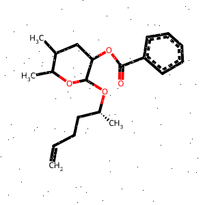 C=CCC[C@@H](C)OC1OC(C)C(C)CC1OC(=O)c1ccccc1